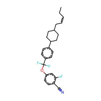 CC/C=C\CC1CCC(c2ccc(C(F)(F)Oc3ccc(C#N)c(F)c3)cc2)CC1